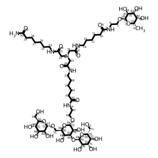 C[C@@H]1O[C@@H](OCCNC(=O)CCCCCNC(=O)CN(CC(=O)NCCCCCCC(N)=O)CC(=O)NCCCCCC(=O)NCCO[C@H]2O[C@H](CO[C@H]3O[C@H](CO)[C@@H](O)[C@H](O)[C@@H]3O)[C@@H](O)[C@H](O[C@H]3O[C@H](CO)[C@@H](O)[C@H](O)[C@@H]3O)[C@@H]2O)[C@@H](O)[C@H](O)[C@@H]1O